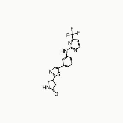 O=C1CC(c2ncc(-c3cccc(Nc4nccc(C(F)(F)F)n4)c3)s2)CN1